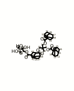 O=C(OCC1(COC(=O)C23CC4CC(CC(C4)C2)C3)COC2(OC1)C1CC3CC2CC(C(=O)OCC(O)(O)S(=O)(=O)O)(C3)C1)C12CC3CC(CC(C3)C1)C2